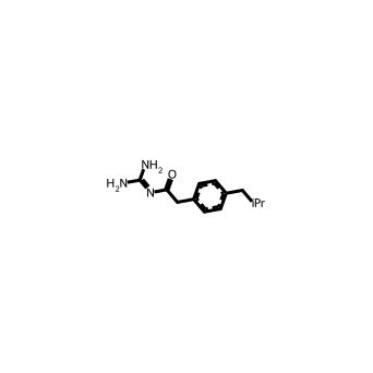 CC(C)Cc1ccc(CC(=O)N=C(N)N)cc1